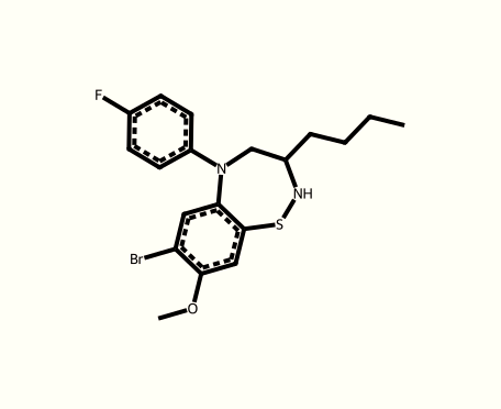 CCCCC1CN(c2ccc(F)cc2)c2cc(Br)c(OC)cc2SN1